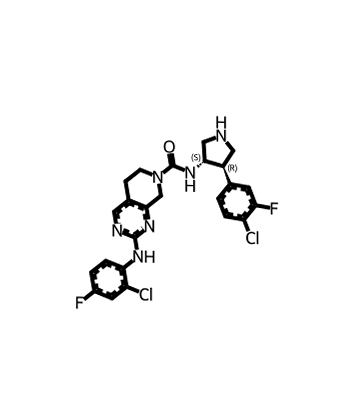 O=C(N[C@@H]1CNC[C@H]1c1ccc(Cl)c(F)c1)N1CCc2cnc(Nc3ccc(F)cc3Cl)nc2C1